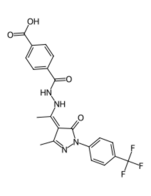 CC1=NN(c2ccc(C(F)(F)F)cc2)C(=O)/C1=C(/C)NNC(=O)c1ccc(C(=O)O)cc1